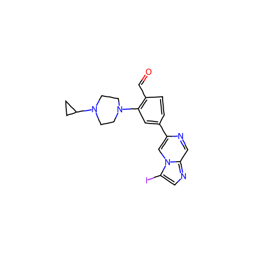 O=Cc1ccc(-c2cn3c(I)cnc3cn2)cc1N1CCN(C2CC2)CC1